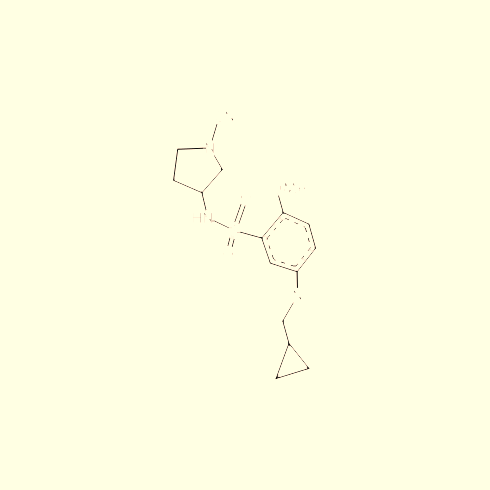 COc1ccc(NCC2CC2)cc1S(=O)(=O)NC1CCN(C#N)C1